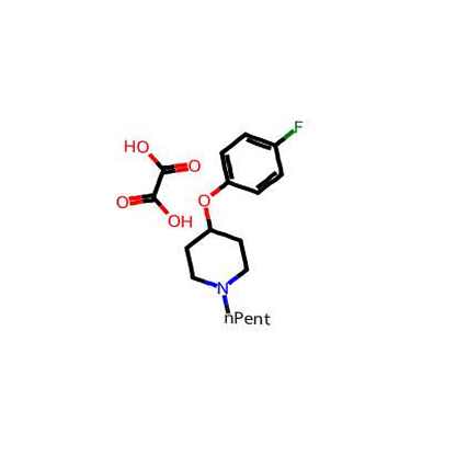 CCCCCN1CCC(Oc2ccc(F)cc2)CC1.O=C(O)C(=O)O